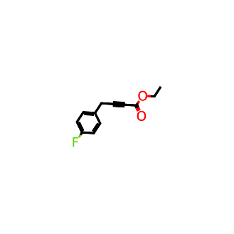 CCOC(=O)C#CCc1ccc(F)cc1